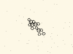 c1ccc(Oc2ccccc2Oc2c(Oc3ccccc3)cccc2-c2cccc(-c3cccc(Oc4cccc(-c5ccccc5-c5ccccc5)c4)c3)c2)cc1